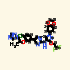 CC(Cn1cnnn1)Oc1cc(-c2cnc(Nc3cn(C4CCC5(CC4)OCCO5)nc3OCC(F)F)nc2)ccc1Cl